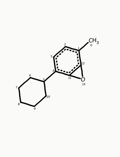 Cc1ccc(C2CCCCC2)c2c1O2